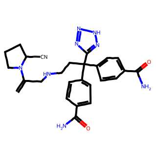 C=C(CNCCC(c1ccc(C(N)=O)cc1)(c1ccc(C(N)=O)cc1)c1nn[nH]n1)N1CCCC1C#N